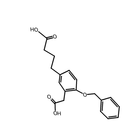 O=C(O)CCCc1ccc(OCc2ccccc2)c(CC(=O)O)c1